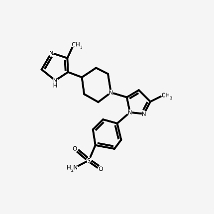 Cc1cc(N2CCC(c3[nH]cnc3C)CC2)n(-c2ccc(S(N)(=O)=O)cc2)n1